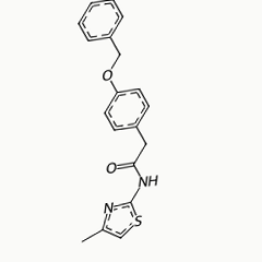 Cc1csc(NC(=O)Cc2ccc(OCc3ccccc3)cc2)n1